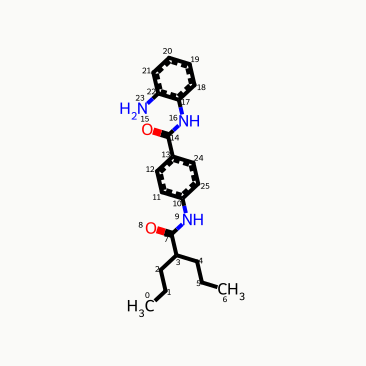 CCCC(CCC)C(=O)Nc1ccc(C(=O)Nc2ccccc2N)cc1